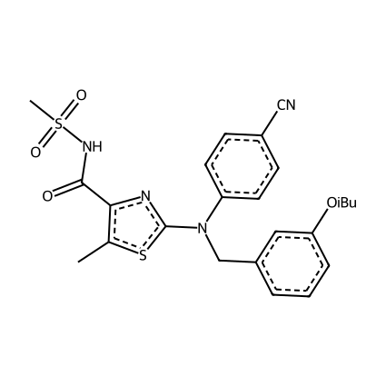 Cc1sc(N(Cc2cccc(OCC(C)C)c2)c2ccc(C#N)cc2)nc1C(=O)NS(C)(=O)=O